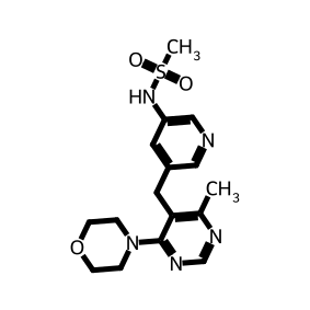 Cc1ncnc(N2CCOCC2)c1Cc1cncc(NS(C)(=O)=O)c1